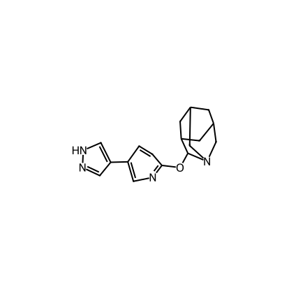 c1cc(OC2C3CC4CC(C3)CN2C4)ncc1-c1cn[nH]c1